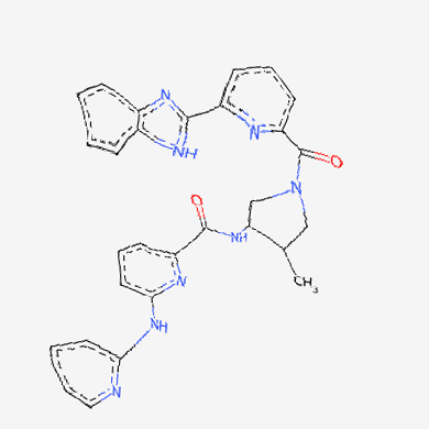 CC1CN(C(=O)c2cccc(-c3nc4ccccc4[nH]3)n2)CC1NC(=O)c1cccc(Nc2ccccn2)n1